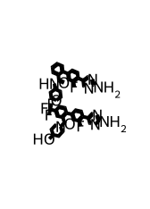 Nc1ncc(-c2ccc(-c3ccc(C(F)(F)F)cc3C(=O)N3CCC(O)CC3)cc2F)cn1.Nc1ncc(-c2ccc(-c3ccccc3C(=O)NC3CCOCC3)cc2F)cn1